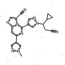 Cn1cc(-c2cc3ncc(C#N)n3c(-c3cnn(C(CC#N)C4CC4)c3)n2)cn1